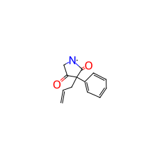 C=CCC1(c2ccccc2)C(=O)C[N]C1=O